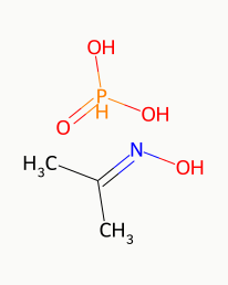 CC(C)=NO.O=[PH](O)O